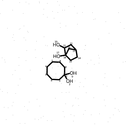 OC1(O)CCCCCCC1.OC1CC2CCC1(O)C2